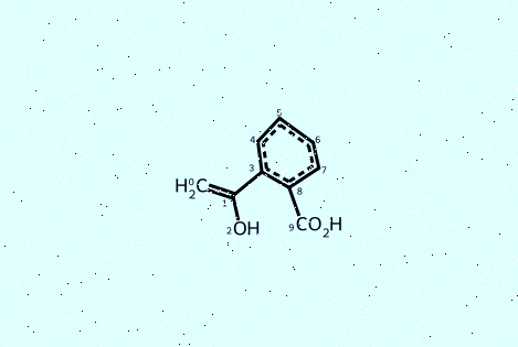 C=C(O)c1ccccc1C(=O)O